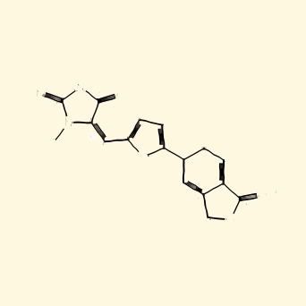 CN1C(=N)NC(=O)/C1=C\c1ccc(C2C=C3COC(=O)C3=CC2)s1